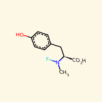 CN(F)[C@@H](Cc1ccc(O)cc1)C(=O)O